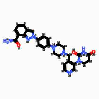 NC(=O)c1cccc2cn(-c3ccc(N4CCN(Cc5ccncc5N5CCC(=O)NC5=O)CC4)cc3)nc12